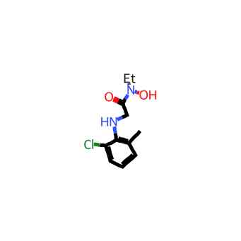 CCN(O)C(=O)CNc1c(C)cccc1Cl